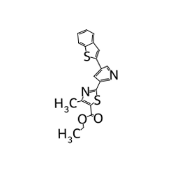 CCOC(=O)c1sc(-c2cncc(-c3cc4ccccc4s3)c2)nc1C